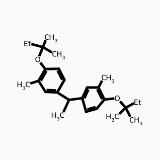 CCC(C)(C)Oc1ccc(C(C)c2ccc(OC(C)(C)CC)c(C)c2)cc1C